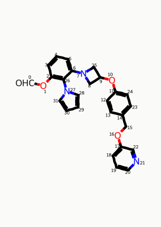 O=COc1cccc(N2CC(Oc3ccc(COc4cccnc4)cc3)C2)c1-n1cccc1